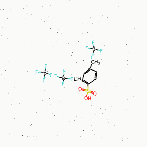 Cc1ccc(S(=O)(=O)O)cc1.F[B-](F)(F)F.F[B-](F)(F)F.F[B-](F)(F)F.[LiH]